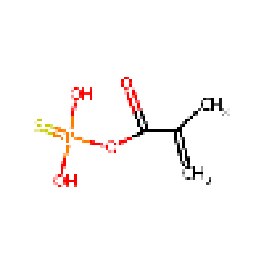 C=C(C)C(=O)OP(O)(O)=S